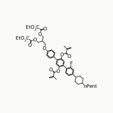 C=C(C)C(=O)Oc1cc(-c2ccc(C3CCC(CCCCC)CC3)cc2F)c(OC(=O)C(=C)C)cc1-c1ccc(OCC(COC(=O)C(=O)OCC)COC(=O)C(=O)OCC)cc1